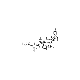 COCCN[C@H]1CC[C@H](c2cnc(N)c3c(-c4cc(F)c(NS(=O)(=O)c5ccc(F)cc5)cc4F)nn(C(C)C)c32)CC1